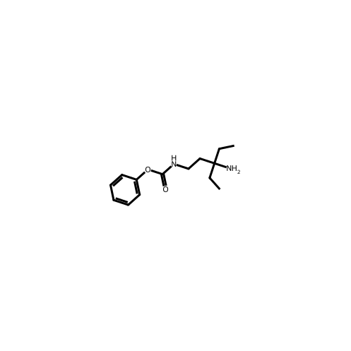 CCC(N)(CC)CCNC(=O)Oc1ccccc1